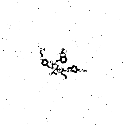 C=CCN(C(=O)NCc1ccc(OC)cc1)N1CC(=O)N2[C@@H](Cc3ccc(OCCO)cc3)C(=O)N(Cc3cccc4sc(N)nc34)C[C@@H]21